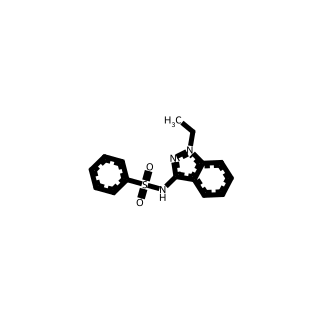 CCn1nc(NS(=O)(=O)c2ccccc2)c2ccccc21